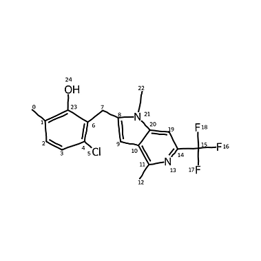 Cc1ccc(Cl)c(Cc2cc3c(C)nc(C(F)(F)F)cc3n2C)c1O